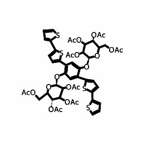 CC(=O)OCC1O[C@@H](Oc2cc(-c3ccc(-c4cccs4)s3)c(O[C@@H]3OC(COC(C)=O)[C@@H](OC(C)=O)C(OC(C)=O)C3OC(C)=O)cc2-c2ccc(-c3cccs3)s2)C(OC(C)=O)C(OC(C)=O)[C@@H]1OC(C)=O